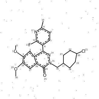 COc1cc2c(-c3ccc(C)nc3F)nn(CC3CCC(Cl)CC3)c(=O)c2cc1OC